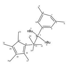 CCCC[Si](CCCC)(c1cc(C)cc(C)c1)[Ti]([CH3])([CH3])([CH3])[C]1=C(C)C(C)=C(C)C1C